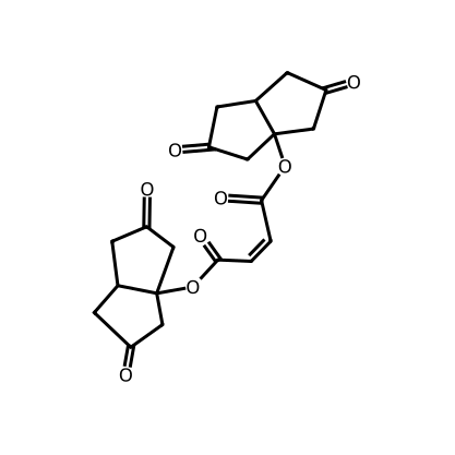 O=C1CC2CC(=O)CC2(OC(=O)/C=C\C(=O)OC23CC(=O)CC2CC(=O)C3)C1